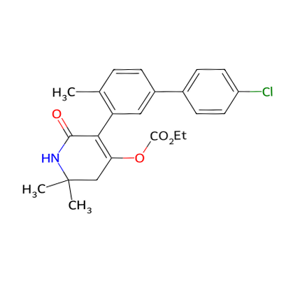 CCOC(=O)OC1=C(c2cc(-c3ccc(Cl)cc3)ccc2C)C(=O)NC(C)(C)C1